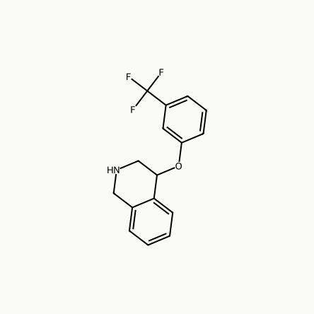 FC(F)(F)c1cccc(OC2CNCc3ccccc32)c1